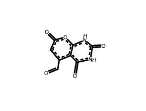 O=Cc1cc(=O)oc2[nH]c(=O)[nH]c(=O)c12